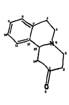 O=C1CCN2CCc3ccccc3C2C1